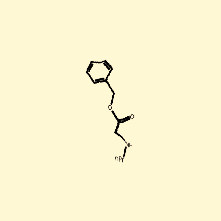 CCCNCC(=O)OCc1ccccc1